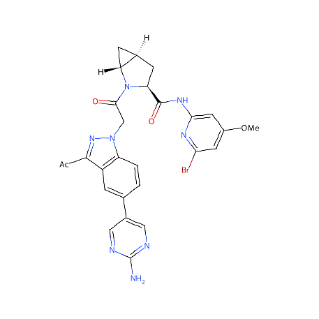 COc1cc(Br)nc(NC(=O)[C@@H]2C[C@@H]3C[C@H]3N2C(=O)Cn2nc(C(C)=O)c3cc(-c4cnc(N)nc4)ccc32)c1